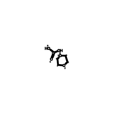 C1COCCO1.O=S(O)O